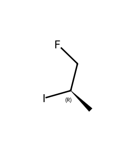 C[C@@H](I)CF